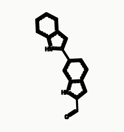 O=Cc1cc2ccc(-c3cc4ccccc4[nH]3)cc2[nH]1